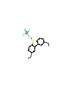 CCc1ccc2c(c1)c1cc(CC)ccc1[s+]2C.F[B-](F)(F)F